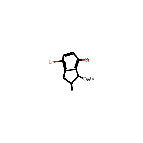 COC1c2c(Br)ccc(Br)c2CC1C